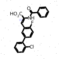 O=C(O)/C(=C/c1cc(-c2ccccc2Cl)ccc1F)NC(=O)c1ccccc1